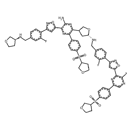 Nc1ncc(-c2ccc(S(=O)(=O)C3CCOC3)cc2)nc1-c1cc(-c2ccc(CN[C@@H]3CC(c4nc(N)c(-c5cc(-c6ccc(CN[C@H]7CCOC7)cc6F)no5)nc4-c4ccc(S(=O)(=O)C5CCOC5)cc4)CO3)cc2F)no1